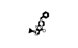 O=c1c2cnn(C3CC3)c2nc2n1CCN(Cc1ccccc1)C2